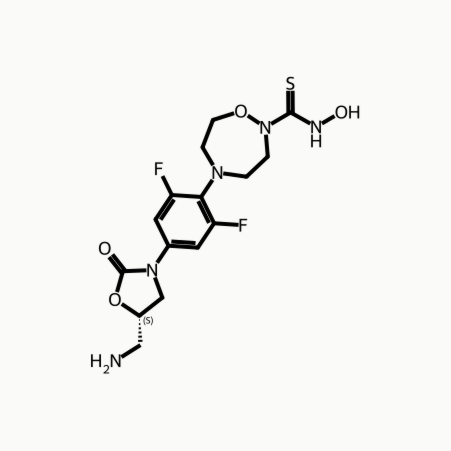 NC[C@H]1CN(c2cc(F)c(N3CCON(C(=S)NO)CC3)c(F)c2)C(=O)O1